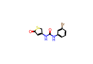 O=C(NC1=CC(=O)SC1)Nc1cccc(Br)c1